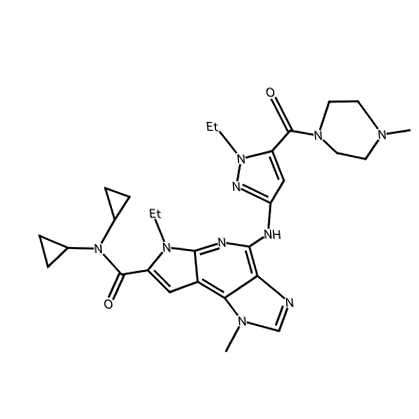 CCn1nc(Nc2nc3c(cc(C(=O)N(C4CC4)C4CC4)n3CC)c3c2ncn3C)cc1C(=O)N1CCN(C)CC1